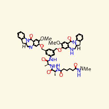 CNNC(=O)CCCCC(=O)N[C@@H](C)C(=O)N[C@@H](C)C(=O)Nc1cc(COc2cc3c(cc2OC)C(=O)N2c4ccccc4C[C@H]2C=N3)cc(COc2cc3c(cc2OC)C(=O)N2c4ccccc4C[C@H]2CN3)c1